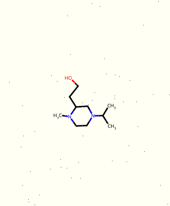 CC(C)N1CCN(C)C(CCO)C1